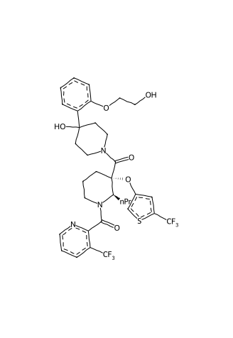 CCC[C@H]1N(C(=O)c2ncccc2C(F)(F)F)CCC[C@@]1(Oc1csc(C(F)(F)F)c1)C(=O)N1CCC(O)(c2ccccc2OCCO)CC1